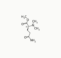 COC(=O)[C@H](CCC(N)=O)N(C)C